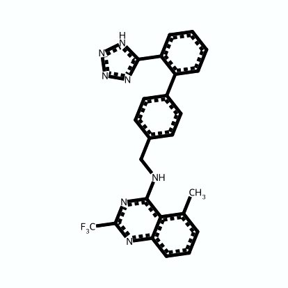 Cc1cccc2nc(C(F)(F)F)nc(NCc3ccc(-c4ccccc4-c4nnn[nH]4)cc3)c12